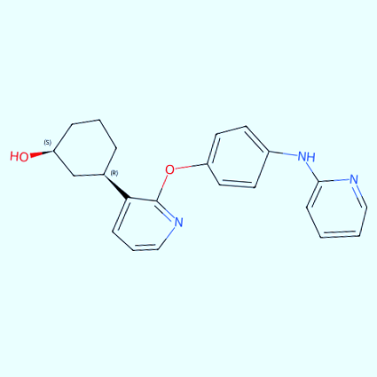 O[C@H]1CCC[C@@H](c2cccnc2Oc2ccc(Nc3ccccn3)cc2)C1